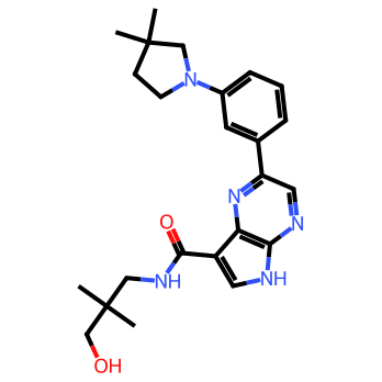 CC(C)(CO)CNC(=O)c1c[nH]c2ncc(-c3cccc(N4CCC(C)(C)C4)c3)nc12